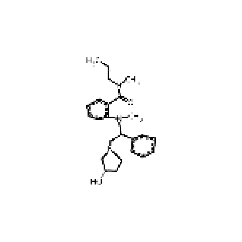 CCCN(C)C(=O)c1ccccc1N(C)[C@H](CN1CC[C@H](O)C1)c1ccccc1